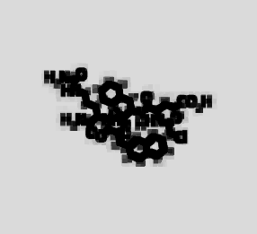 NC(=O)NCCCC(NC(=O)C(Cc1ccc2ccccc2c1)NC(=O)C(CC1CCCCC1)NC(=O)C(CCC(=O)O)NC(=O)CCl)C(N)=O